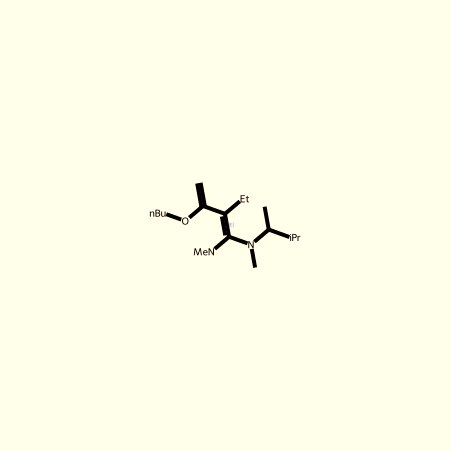 C=C(OCCCC)/C(CC)=C(\NC)N(C)C(C)C(C)C